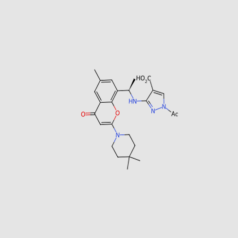 CC(=O)n1cc(C(=O)O)c(N[C@H](C)c2cc(C)cc3c(=O)cc(N4CCC(C)(C)CC4)oc23)n1